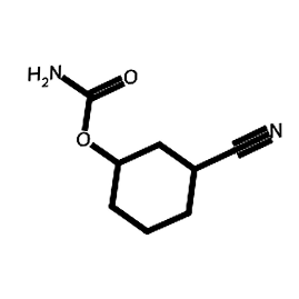 N#CC1CCCC(OC(N)=O)C1